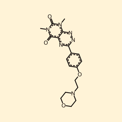 Cn1c(=O)c2nc(-c3ccc(OCCN4CCOCC4)cc3)nnc2n(C)c1=O